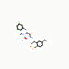 CCc1ccc2c(c1)[C@@H](NC[C@@H](O)[C@H](Cc1cc(F)cc(F)c1)N(CC)C(=O)O)CS(O)(O)C2